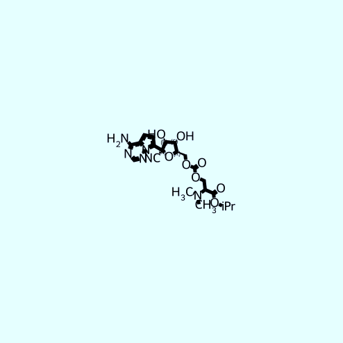 CC(C)OC(=O)C(COC(=O)OC[C@H]1O[C@@](C#N)(c2ccc3c(N)ncnn23)[C@H](O)[C@@H]1O)N(C)C